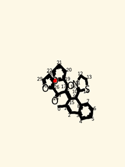 CC1=Cc2ccccc2C(C2=NCCS2)C1=C(C(=O)c1ccco1)C(=O)c1ccco1